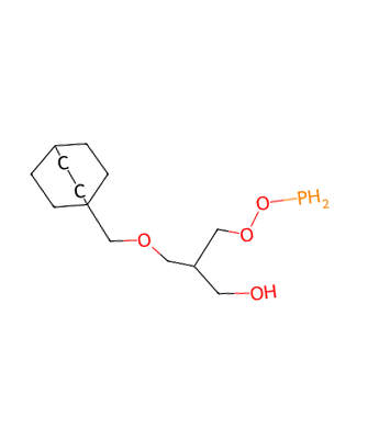 OCC(COCC12CCC(CC1)CC2)COOP